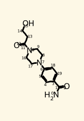 NC(=O)c1ccc(N2CCN(C(=O)CCO)CC2)cc1